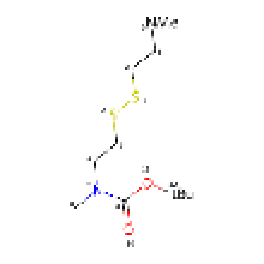 CNCCSSCCN(C)C(=O)OC(C)(C)C